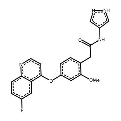 COc1cc(Oc2ccnc3ccc(F)cc23)ccc1CC(=O)Nc1cn[nH]c1